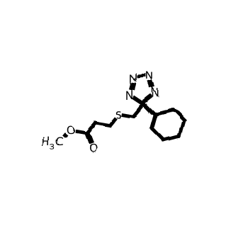 COC(=O)CCSCC1(C2CCCCC2)N=NN=N1